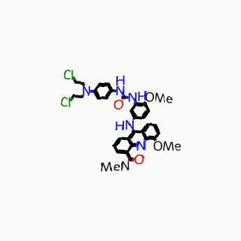 CNC(=O)c1cccc2c(Nc3ccc(OC)c(NC(=O)Nc4ccc(N(CCCl)CCCl)cc4)c3)c3cccc(OC)c3nc12